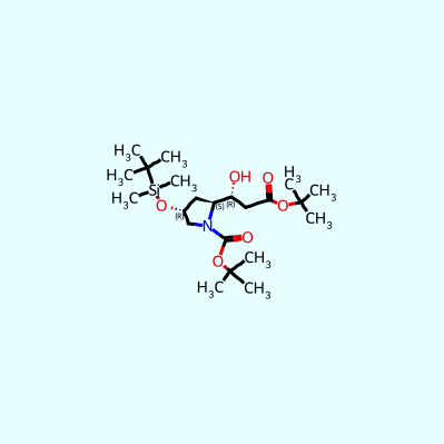 CC(C)(C)OC(=O)C[C@@H](O)[C@@H]1C[C@@H](O[Si](C)(C)C(C)(C)C)CN1C(=O)OC(C)(C)C